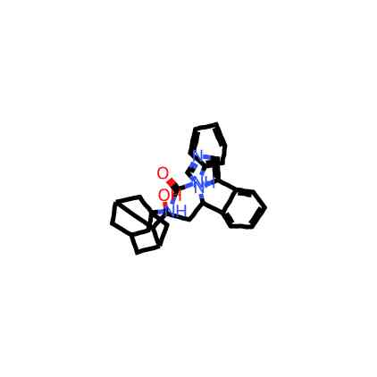 O=C(Nc1ccccc1)NC12CC3CC(C1)C(C(O)CC1c4ccccc4-c4cncn41)C(C3)C2